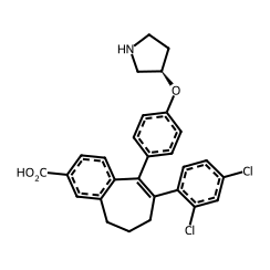 O=C(O)c1ccc2c(c1)CCCC(c1ccc(Cl)cc1Cl)=C2c1ccc(O[C@@H]2CCNC2)cc1